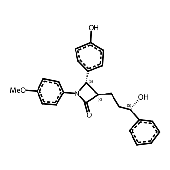 COc1ccc(N2C(=O)[C@H](CC[C@H](O)c3ccccc3)[C@H]2c2ccc(O)cc2)cc1